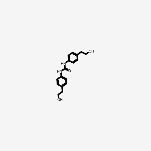 O=C(Nc1ccc(CCO)cc1)Nc1ccc(CCO)cc1